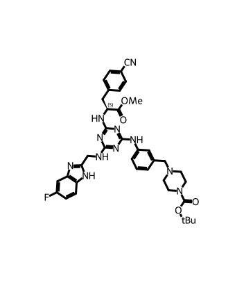 COC(=O)[C@H](Cc1ccc(C#N)cc1)Nc1nc(NCc2nc3cc(F)ccc3[nH]2)nc(Nc2cccc(CN3CCN(C(=O)OC(C)(C)C)CC3)c2)n1